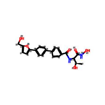 C[C@@H](O)C(NC(=O)c1ccc(-c2ccc(-c3ccc(CO)o3)cc2)cc1)C(=O)NO